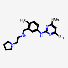 CNc1cc(C)nc(Nc2ccc(C)c(CNCCN3CCCC3)c2)n1